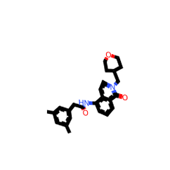 Cc1cc(C)cc(CC(=O)Nc2cccc3c(=O)n(CC4CCOCC4)ccc23)c1